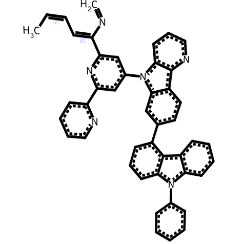 C=N/C(=C\C=C/C)c1cc(-n2c3cc(-c4cccc5c4c4ccccc4n5-c4ccccc4)ccc3c3ncccc32)cc(-c2ccccn2)n1